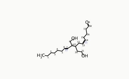 CCCCCC/C=C/C(CO)C(C/C=C\CCCC=O)CCO